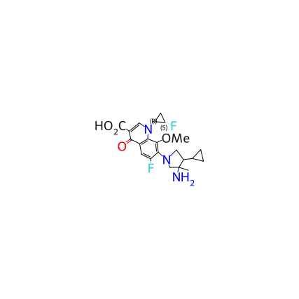 COc1c(N2CC(C3CC3)C(C)(N)C2)c(F)cc2c(=O)c(C(=O)O)cn([C@@H]3C[C@@H]3F)c12